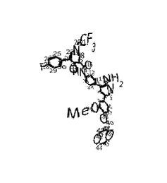 COc1cc(-c2cnc(N)c(-c3ccc(NC(=O)c4cn(CC(F)(F)F)cc(-c5ccc(F)cc5)c4=O)cc3)c2)ccc1OC[C@H]1COCCO1